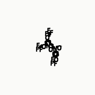 COCN(C(=O)Cc1cc(OCC(F)(F)F)cc(OCC(F)(F)F)n1)c1ccc(OC(F)(F)F)cc1